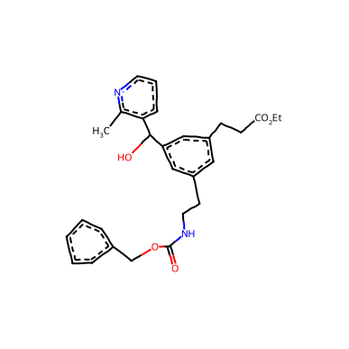 CCOC(=O)CCc1cc(CCNC(=O)OCc2ccccc2)cc(C(O)c2cccnc2C)c1